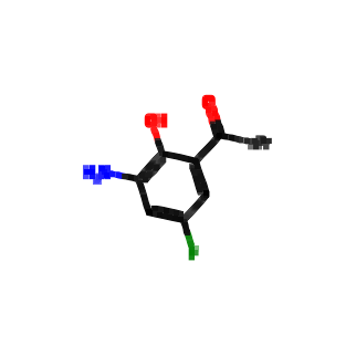 CCCC(=O)c1cc(F)cc(N)c1O